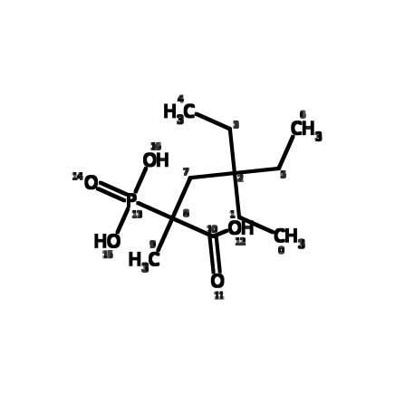 CCC(CC)(CC)CC(C)(C(=O)O)P(=O)(O)O